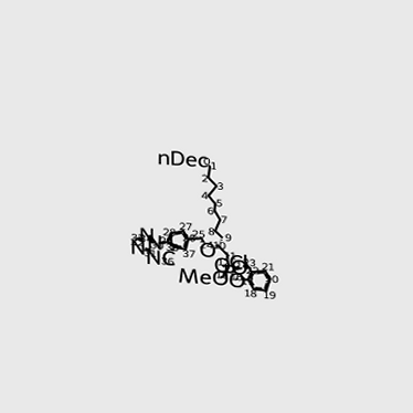 CCCCCCCCCCCCCCCCCCC[C@H](COP(=O)(OC)Oc1ccccc1Cl)OCc1ccc(-n2cncn2)c(C#N)c1